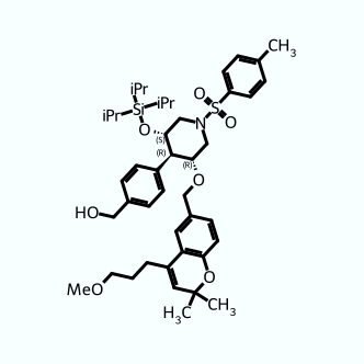 COCCCC1=CC(C)(C)Oc2ccc(CO[C@H]3CN(S(=O)(=O)c4ccc(C)cc4)C[C@@H](O[Si](C(C)C)(C(C)C)C(C)C)[C@@H]3c3ccc(CO)cc3)cc21